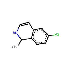 O=CC1NC=Cc2cc(Cl)ccc21